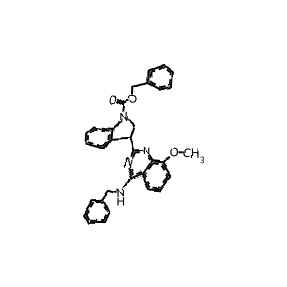 COc1cccc2c(NCc3ccccc3)nc(C3CN(C(=O)OCc4ccccc4)c4ccccc43)nc12